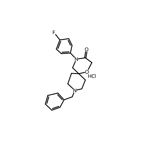 Cl.O=C1COC2(CCN(Cc3ccccc3)CC2)CN1c1ccc(F)cc1